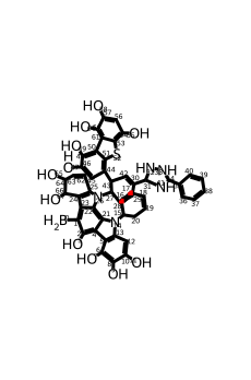 Bc1c(O)c2c3c(O)c(O)c(O)cc3n(C3C=CC=CC3)c2c2c1c1c(n2C2C=CC(C3NNC(c4ccccc4)N3)=CC2c2cc(O)c(O)c3c2sc2c(O)cc(O)c(O)c23)C=CC(O)C1O